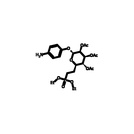 CCOP(=O)(CC[C@H]1O[C@H](Oc2ccc(N)cc2)[C@@H](OC(C)=O)[C@@H](OC(C)=O)[C@@H]1OC(C)=O)OCC